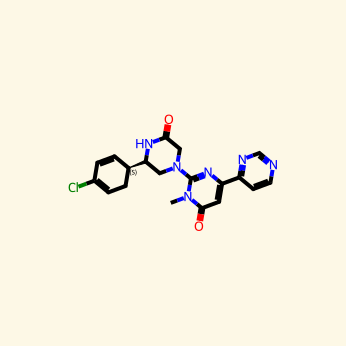 Cn1c(N2CC(=O)NC([C@@H]3C=CC(Cl)=CC3)C2)nc(-c2ccncn2)cc1=O